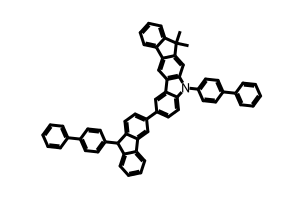 CC1(C)c2ccccc2-c2cc3c4cc(-c5ccc6c(c5)-c5ccccc5C6c5ccc(-c6ccccc6)cc5)ccc4n(-c4ccc(-c5ccccc5)cc4)c3cc21